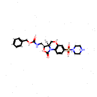 O=C(NC[C@@H]1OC(=O)N2c3ccc(S(=O)(=O)N4CCNCC4)cc3OC[C@@H]12)OCc1ccccc1